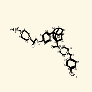 CN1CCN(C(=O)COc2ccc(C34CC5CC(CC(C(=O)N6CCN(Cc7ccc(C(F)(F)F)cc7)CC6)(C5)C3)C4)cc2)CC1